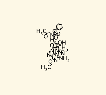 CCOc1nc(N)nc2c1ncn2[C@@H]1O[C@H](COP(=O)(NCC(C)=O)Oc2ccccc2)[C@@H](O)[C@@]1(C)N=[N+]=[N-]